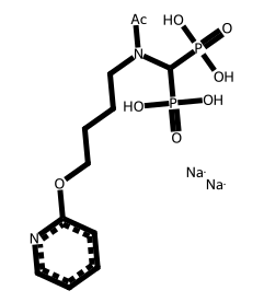 CC(=O)N(CCCCOc1ccccn1)C(P(=O)(O)O)P(=O)(O)O.[Na].[Na]